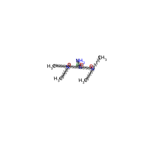 CCCCCCCCCCN(CCCCCCCCCC)C(=O)CCCCCCCN(CCCCCCCC(=O)N(CCCCCCCCCC)CCCCCCCCCC)C(=O)C(F)CCN